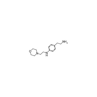 NCCc1ccc(NCCN2CCOCC2)cc1